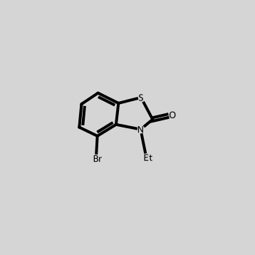 CCn1c(=O)sc2cccc(Br)c21